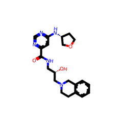 O=C(NC[C@H](O)CN1CCc2ccccc2C1)c1cc(N[C@@H]2CCOC2)ncn1